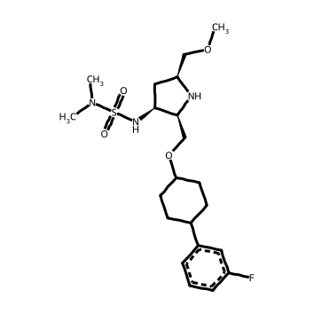 COC[C@@H]1C[C@H](NS(=O)(=O)N(C)C)[C@H](COC2CCC(c3cccc(F)c3)CC2)N1